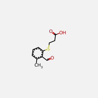 Cc1cccc(SCCC(=O)O)c1C=O